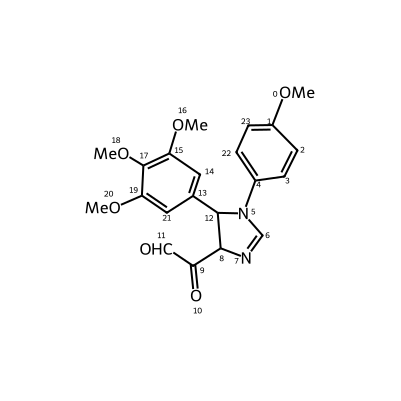 COc1ccc(N2C=NC(C(=O)C=O)C2c2cc(OC)c(OC)c(OC)c2)cc1